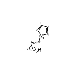 O=C(O)C=Cn1cccc1